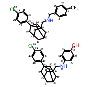 FC(F)(F)c1ccc(CNCC23CC4CC(C2)CC(c2ccc(Cl)cc2)(C4)C3)cc1.Oc1ccc(NCC23CC4CC(C2)CC(c2ccc(Cl)cc2)(C4)C3)cc1